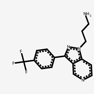 NCCCn1nc(-c2ccc(C(F)(F)F)cc2)c2cnccc21